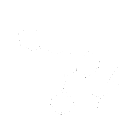 Cc1cc(C(C)(C)C)cc(Pc2ccccc2CN(C)C)c1OCc1ccccc1